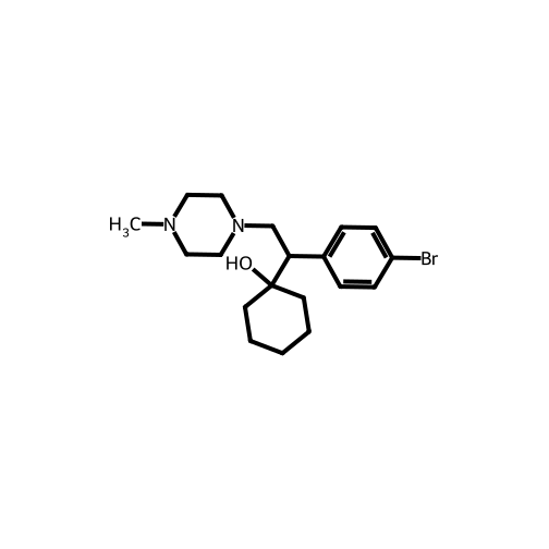 CN1CCN(CC(c2ccc(Br)cc2)C2(O)CCCCC2)CC1